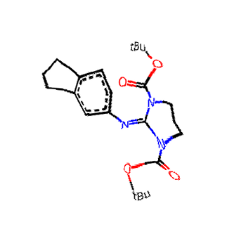 CC(C)(C)OC(=O)N1CCN(C(=O)OC(C)(C)C)C1=Nc1ccc2c(c1)CCC2